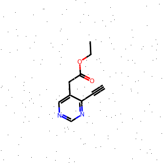 C#Cc1ncncc1CC(=O)OCC